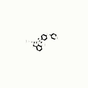 Cc1cccc(C(=O)NO)c1NS(=O)(=O)c1ccc(Oc2ccncc2)cc1